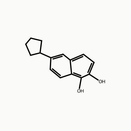 Oc1ccc2cc(C3CCCC3)ccc2c1O